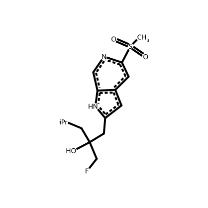 C[C](C)CC(O)(CF)Cc1cc2cc(S(C)(=O)=O)ncc2[nH]1